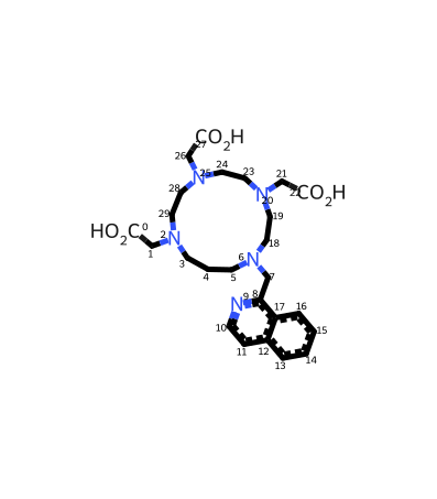 O=C(O)CN1CCCN(Cc2nccc3ccccc23)CCN(CC(=O)O)CCN(CC(=O)O)CC1